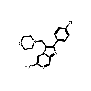 Cc1cn2c(CN3CCOCC3)c(-c3ccc(Cl)cc3)nc2cn1